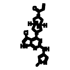 C=CC(=O)N1C[C@@H]2CN(c3nc(Nc4cnn(C)c4)nc4[nH]cc(Cl)c34)C[C@@H]2C1